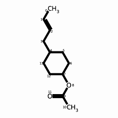 CC=CCC1CCC(OC(C)=O)CC1